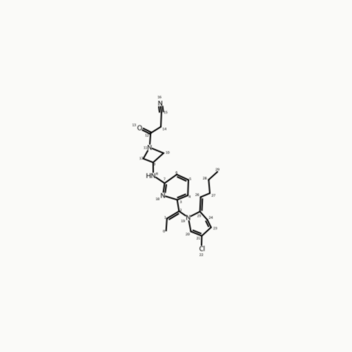 C/C=C(/c1cccc(NC2CN(C(=O)CC#N)C2)n1)N1C=C(Cl)C=C/C1=C\CCC